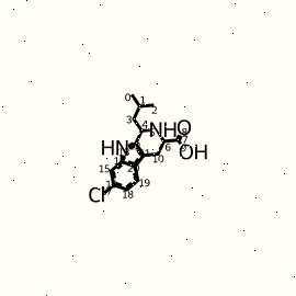 CC(C)CC1NC(C(=O)O)Cc2c1[nH]c1cc(Cl)ccc21